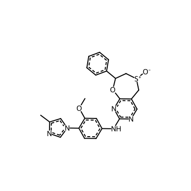 COc1cc(Nc2ncc3c(n2)OC(c2ccccc2)C[S+]([O-])C3)ccc1-n1cnc(C)c1